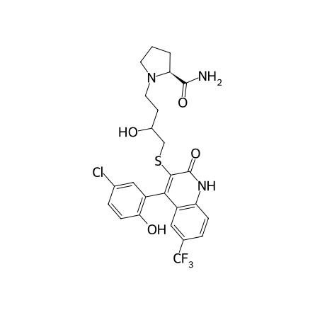 NC(=O)[C@@H]1CCCN1CCC(O)CSc1c(-c2cc(Cl)ccc2O)c2cc(C(F)(F)F)ccc2[nH]c1=O